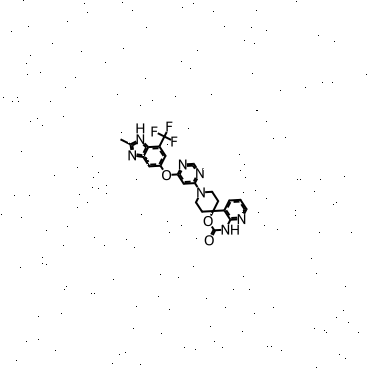 Cc1nc2cc(Oc3cc(N4CCC5(CC4)OC(=O)Nc4ncccc45)ncn3)cc(C(F)(F)F)c2[nH]1